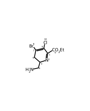 CCOC(=O)C1=NC(CN)CC(Br)=C1Cl